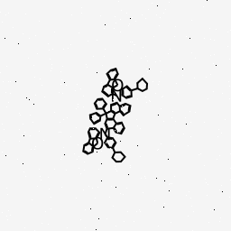 c1ccc(C2(c3ccccc3)c3cc(N(c4ccc(C5CCCCC5)cc4)c4cccc5c4oc4ccccc45)c4ccccc4c3-c3c2cc(N(c2ccc(C4CCCCC4)cc2)c2cccc4c2oc2ccccc24)c2ccccc32)cc1